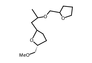 COC[C@H]1CCC(CC(C)OCC2CCCO2)O1